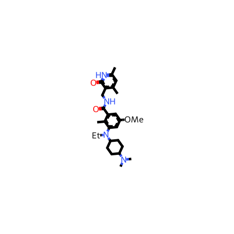 CCN(c1cc(OC)cc(C(=O)NCc2c(C)cc(C)[nH]c2=O)c1C)C1CCC(N(C)C)CC1